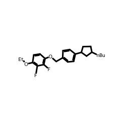 CCCCC1CCC(c2ccc(COc3ccc(OCC)c(F)c3F)cc2)C1